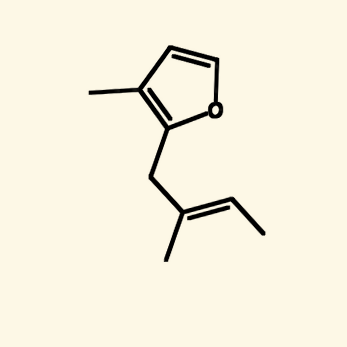 CC=C(C)Cc1occc1C